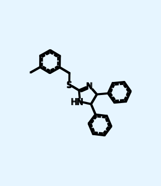 Cc1cccc(CSC2=NC(c3ccccc3)C(c3ccccc3)N2)c1